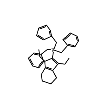 CCC1=[C]([Ti]([CH2]c2ccccc2)([CH2]c2ccccc2)[CH2]c2ccccc2)C(CC)C2=C1CCCC2